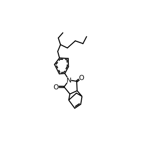 CCCCC(CC)Cc1ccc(N2C(=O)C3C4C=CC(C4)C3C2=O)cc1